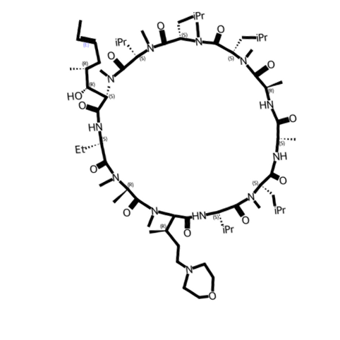 C/C=C/C[C@@H](C)[C@@H](O)[C@H]1C(=O)N[C@@H](CC)C(=O)N(C)[C@H](C)C(=O)N(C)C([C@H](C)CCN2CCOCC2)C(=O)N[C@@H](C(C)C)C(=O)N(C)[C@@H](CC(C)C)C(=O)N[C@@H](C)C(=O)N[C@H](C)C(=O)N(C)[C@@H](CC(C)C)C(=O)N(C)[C@@H](CC(C)C)C(=O)N(C)[C@@H](C(C)C)C(=O)N1C